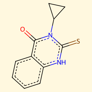 O=c1c2ccccc2[nH]c(=S)n1C1CC1